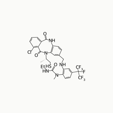 CCNC(=O)N(C)c1ccc(C(F)(C(F)(F)F)C(F)(F)F)cc1NCc1ccc2c(c1)N([C@@H](C)CS)C(=O)c1c(Cl)cccc1C(=O)N2